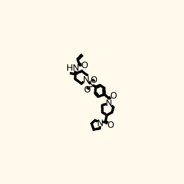 C=CC(=O)NC1(C)CCN(S(=O)(=O)c2ccc(C(=O)N3CCC(C(=O)N4CCCC4)CC3)cc2)CC1